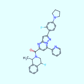 CC1c2ccccc2C(F)CN1C(=O)c1cc(-c2ccccn2)n2nc(-c3ccc(N4CCCC4)cc3F)cc2n1